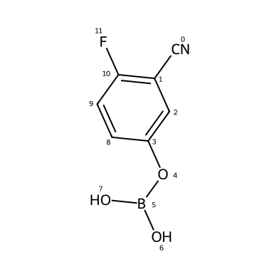 N#Cc1cc(OB(O)O)ccc1F